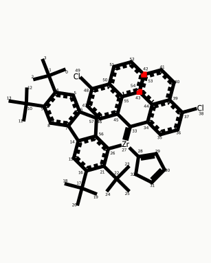 CC(C)(C)c1cc2c(cc1C(C)(C)C)-c1cc(C(C)(C)C)c(C(C)(C)C)[c]([Zr]([C]3=CC=CC3)=[C](c3ccc(Cl)c4ccccc34)c3ccc(Cl)c4ccccc34)c1C2